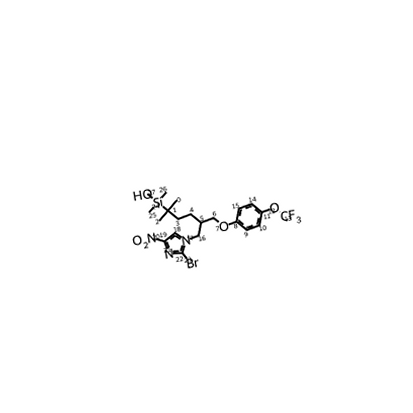 CC(C)(CCC(COc1ccc(OC(F)(F)F)cc1)Cn1cc([N+](=O)[O-])nc1Br)[Si](C)(C)O